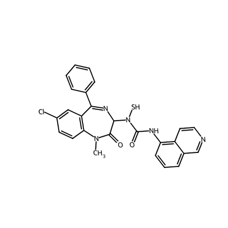 CN1C(=O)C(N(S)C(=O)Nc2cccc3cnccc23)N=C(c2ccccc2)c2cc(Cl)ccc21